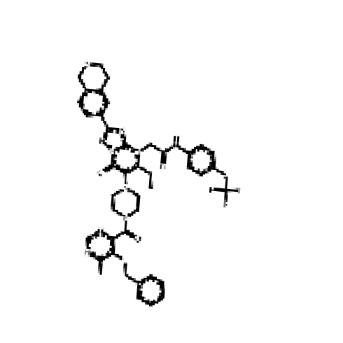 CCc1c(N2CCN(C(=O)c3ncnc(C)c3OCc3ccccc3)CC2)c(=O)n2nc(-c3ccc4c(c3)CCOC4)nc2n1CC(=O)Nc1ccc(SC(F)(F)F)cc1